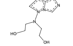 OCCN(CCO)n1cnc2cncn21